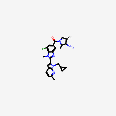 CC[C@@H]1CN(C(=O)c2cc(F)c3c(c2)nc(-c2cc4ccc(C)nc4n2CC2CC2)n3C)C(C)C1N